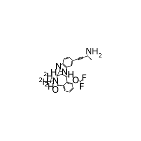 [2H]C([2H])([2H])N1C(=O)c2cccc(OC(F)F)c2[C@H]2C[C@@H]1c1nc3ccc(C#C[C@H](C)N)cc3n12